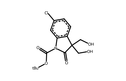 CC(C)(C)OC(=O)N1C(=O)C(CO)(CO)c2ccc(Cl)cc21